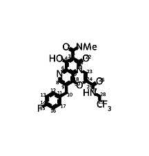 CNC(=O)c1c(O)c2ncc(Cc3ccc(F)cc3)c3c2n(c1=O)C=C(C(=O)NCC(F)(F)F)O3